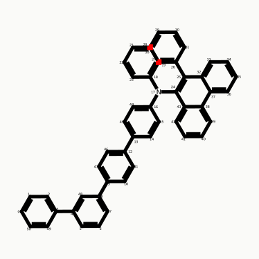 c1ccc(-c2cccc(-c3ccc(-c4ccc(N(c5ccccc5)c5c(-c6ccccc6)c6ccccc6c6ccccc56)cc4)cc3)c2)cc1